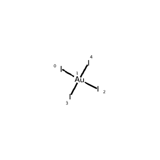 [I][Au]([I])([I])[I]